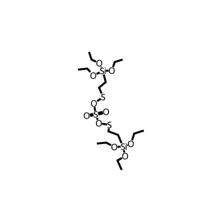 CCO[Si](CCSOS(=O)(=O)OSCC[Si](OCC)(OCC)OCC)(OCC)OCC